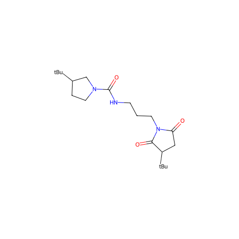 CC(C)(C)C1CCN(C(=O)NCCCN2C(=O)CC(C(C)(C)C)C2=O)C1